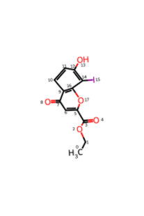 CCOC(=O)c1cc(=O)c2ccc(O)c(I)c2o1